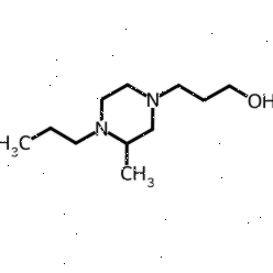 CCCN1CCN(CCCO)CC1C